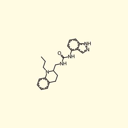 CCCN1c2ccccc2CCC1CNC(=O)Nc1cccc2[nH]ncc12